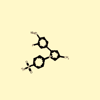 COc1ccc(-c2cc(C)cn2-c2ccc(S(N)(=O)=O)cc2)cc1F